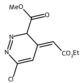 CCOC(=O)C=C1C=C(Cl)N=NC1C(=O)OC